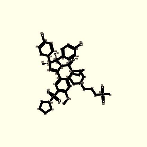 CCOc1cc(OC)c(S(=O)(=O)N2CCCC2)cc1C1=N[C@@](C)(C2C=CC(Cl)=CC2)[C@@](C)(c2ccc(Cl)cc2)N1C(=O)N1CCN(CCCS(C)(=O)=O)CC1